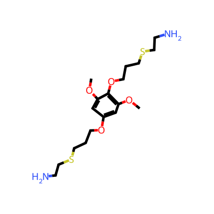 COc1cc(OCCCSCCN)cc(OC)c1OCCCSCCN